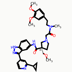 COC[C@@]1(C(=O)Nc2ccc3[nH]nc(-c4ccnc(C5CC5)c4)c3c2)CCN(CC(=O)N(C)CCc2ccc(OC)c(OC)c2)C1